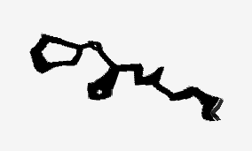 O=C(CCCCCS)OC1CCCCC1